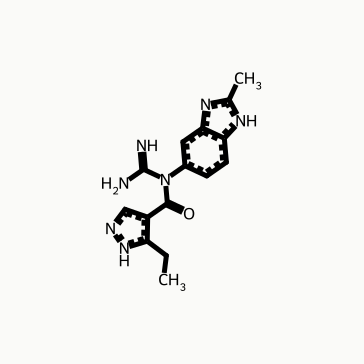 CCc1[nH]ncc1C(=O)N(C(=N)N)c1ccc2[nH]c(C)nc2c1